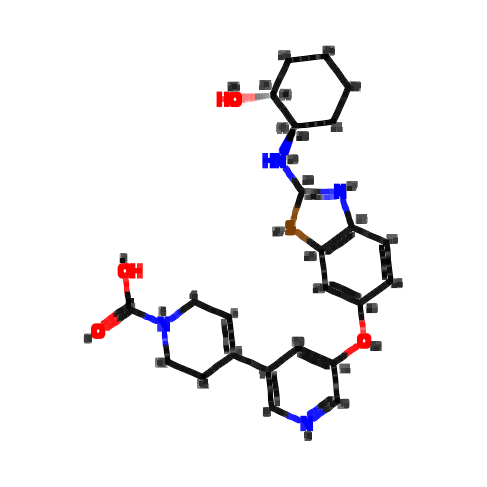 O=C(O)N1CC=C(c2cncc(Oc3ccc4nc(N[C@@H]5CCCC[C@H]5O)sc4c3)c2)CC1